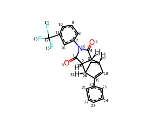 O=C1[C@@H]2[C@H](C(=O)N1c1cccc(C(F)(F)F)c1)[C@@H]1C=C(c3ccccc3)[C@H]2C1